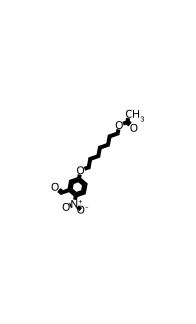 CC(=O)OCCCCCCCOc1ccc([N+](=O)[O-])c(C=O)c1